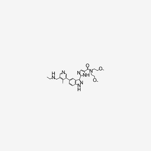 CCNCc1cncc(-c2ccc3[nH]nc(-c4ncc(C(=O)N(CCOC)CCOC)[nH]4)c3c2)c1C